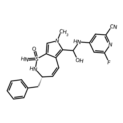 Cn1cc2c(c1C(O)Nc1cc(F)nc(C#N)c1)C=C[C@H](Cc1ccccc1)NS2(=N)=O